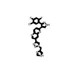 Fc1cc(F)c(-c2n[nH]cc2-c2ccc3ncc(-c4cn(Cc5c[nH]cn5)nn4)cc3n2)cc1Cl